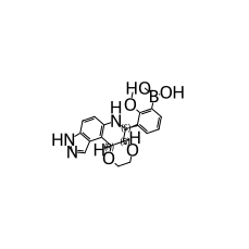 COc1c(B(O)O)cccc1[C@@H]1Nc2ccc3[nH]ncc3c2[C@H]2OCCO[C@H]21